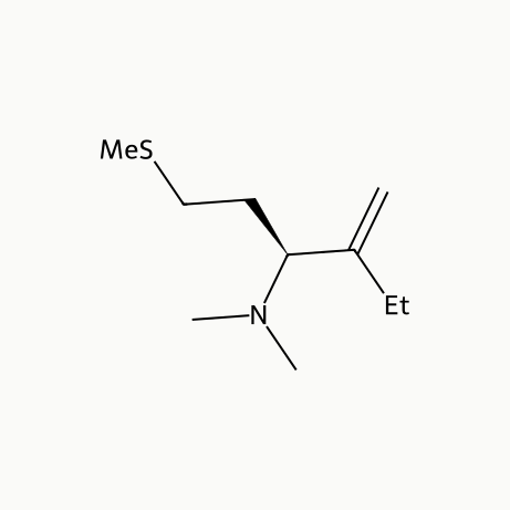 C=C(CC)[C@H](CCSC)N(C)C